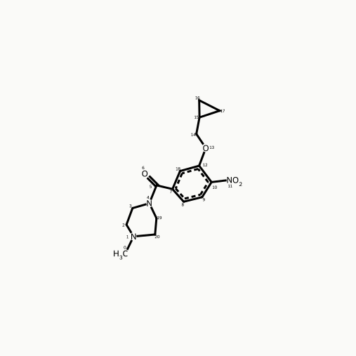 CN1CCN(C(=O)c2ccc([N+](=O)[O-])c(OCC3CC3)c2)CC1